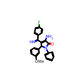 COc1cccc(C2C(C(=N)c3ccc(F)cc3)=C(N)C(=O)N2c2ccccc2)c1